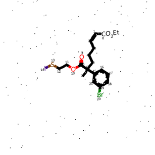 CCOC(=O)/C=C\CCCC(C)(C(=O)OCCSI)c1cccc(Br)c1